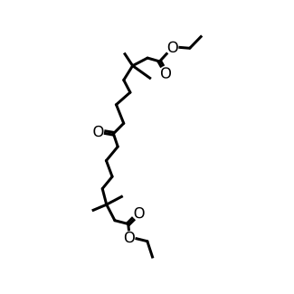 CCOC(=O)CC(C)(C)CCCCC(=O)CCCCC(C)(C)CC(=O)OCC